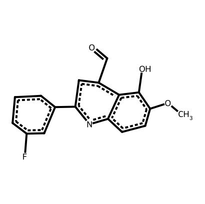 COc1ccc2nc(-c3cccc(F)c3)cc(C=O)c2c1O